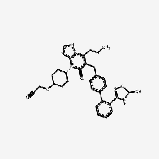 CCCc1c(Cc2ccc(-c3ccccc3C3=NOC(O)N3)cc2)c(=O)n([C@H]2CC[C@H](OCC#N)CC2)c2ncnn12